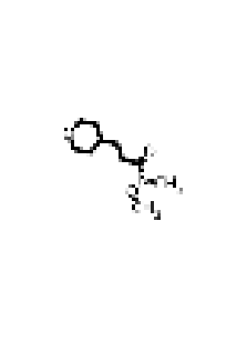 CON(C)C(=O)CCC1CCOCC1